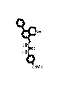 COc1ccc(NC(=O)NCc2ccc(-c3ccccc3)c3c2CN(C)CC3)cc1